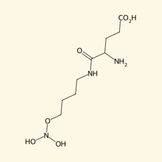 NC(CCC(=O)O)C(=O)NCCCCON(O)O